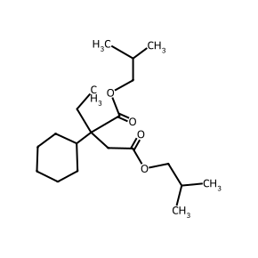 CCC(CC(=O)OCC(C)C)(C(=O)OCC(C)C)C1CCCCC1